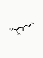 C=C[CH]NC=C(C)C(=O)O